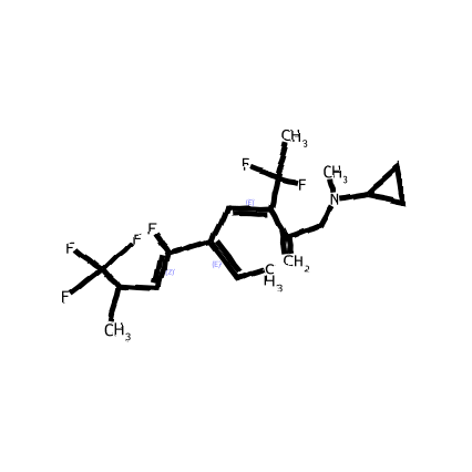 C=C(CN(C)C1CC1)\C(=C/C(=C\C)C(/F)=C/C(C)C(F)(F)F)C(C)(F)F